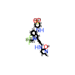 COc1nc(C)ccc1NCC#Cc1cc2c(NC3CCS(=O)(=O)CC3)cccc2n1CC(F)(F)F